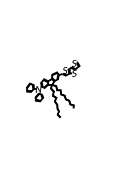 CCCCCCCCCCC1(CCCCCCCCCC)c2cc(-c3cc4sc5ccsc5c4s3)ccc2-c2ccc(N(c3ccccc3)c3ccccc3)cc21